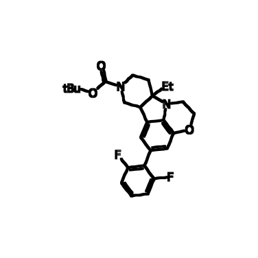 CCC12CCN(C(=O)OC(C)(C)C)CC1c1cc(-c3c(F)cccc3F)cc3c1N2CCO3